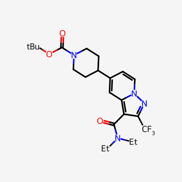 CCN(CC)C(=O)c1c(C(F)(F)F)nn2ccc(C3CCN(C(=O)OC(C)(C)C)CC3)cc12